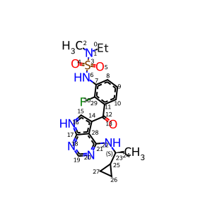 CCN(C)S(=O)(=O)Nc1cccc(C(=O)c2c[nH]c3ncnc(N[C@@H](C)C4CC4)c23)c1F